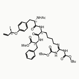 C=C[C@@H](I)Oc1ccc(C[C@H](NC(C)=O)C(=O)N[C@@H](CCCCN=C(NC(=O)OC(C)(C)C)NC(=O)OC(C)(C)C)C(=O)N[C@@H](Cc2ccccc2)C(=O)OC)cc1